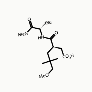 CNC(=O)[C@@H](NC(=O)[C@@H](CC(=O)O)CC(C)(C)COC)C(C)(C)C